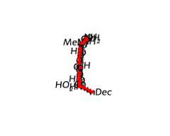 CCCCCCCCCCCCCCCCCC(=O)N[C@@H](CCC(=O)NCCOCCOCC(=O)NCCOCCOCC(=O)NCCCC[C@H](NC)C(=O)CN[C@@H](CO)C(N)=O)C(=O)O